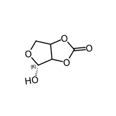 O=C1OC2CO[C@@H](O)C2O1